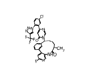 C[C@@H]1CCC[C@H](n2cnc(-c3cc(Cl)ccc3-n3cc(C(F)(F)F)nn3)cc2=O)c2cccc(c2)-c2cc(F)ncc2NC1=O